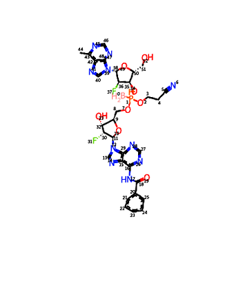 B[PH](OCCC#N)(OC[C@H]1O[C@@H](n2cnc3c(NC(=O)c4ccccc4)ncnc32)[C@H](F)[C@@H]1O)O[C@H]1[C@@H](F)[C@H](n2cnc3c(C)ncnc32)O[C@@H]1CO